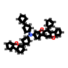 c1ccc(-c2ccc(N(c3ccc(-c4cccc5c4oc4ccccc45)cc3)c3ccc4c(c3)oc3c(-c5ccccc5)c5c(cc34)oc3ccccc35)cc2)cc1